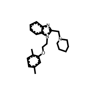 Cc1ccc(C)c(OCCn2c(CN3CCCCC3)nc3ccccc32)c1